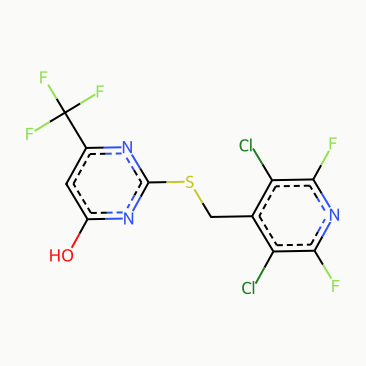 Oc1cc(C(F)(F)F)nc(SCc2c(Cl)c(F)nc(F)c2Cl)n1